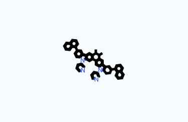 CC1c2cc3c4c(n(-c5cccnc5)c3cc2-c2cc3c(cc2C1C)c1cc(-c2cccc5ccccc25)ccc1n3-c1cccnc1)CCC(c1cccc2ccccc12)=C4